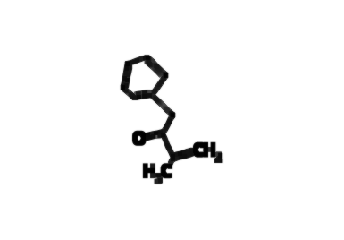 C=C(C)C(=O)Cc1ccccc1